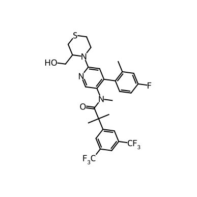 Cc1cc(F)ccc1-c1cc(N2CCSCC2CO)ncc1N(C)C(=O)C(C)(C)c1cc(C(F)(F)F)cc(C(F)(F)F)c1